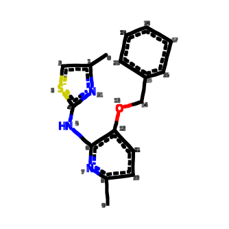 Cc1csc(Nc2nc(C)ccc2OCc2ccccc2)n1